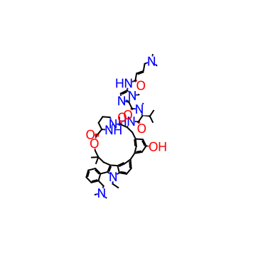 CCn1c(-c2ccccc2CN(C)C)c2c3cc(ccc31)-c1cc(O)cc(c1)C[C@H](NC(=O)[C@H](C(C)C)N(C)C(=O)c1ncc(NC(=O)/C=C/CN(C)C)n1C)C(=O)N1CCC[C@](C=O)(COCC(C)(C)C2)N1